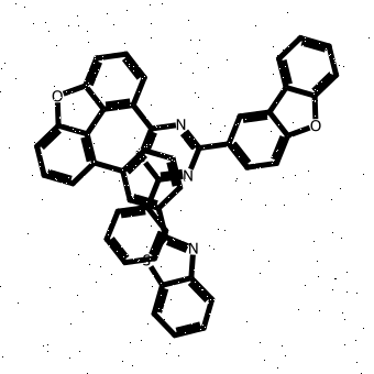 c1ccc(-c2nc(-c3ccc4oc5ccccc5c4c3)nc(-c3cccc4oc5cccc(-c6cccc(-c7nc8ccccc8s7)c6)c5c34)n2)cc1